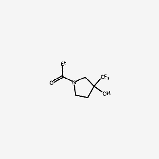 CCC(=O)N1CCC(O)(C(F)(F)F)C1